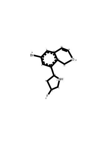 FC1CNC(c2cc(Br)cc3c2COC=C3)C1